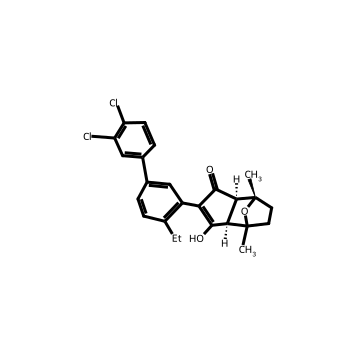 CCc1ccc(-c2ccc(Cl)c(Cl)c2)cc1C1=C(O)[C@H]2[C@@H](C1=O)[C@]1(C)CCC2(C)O1